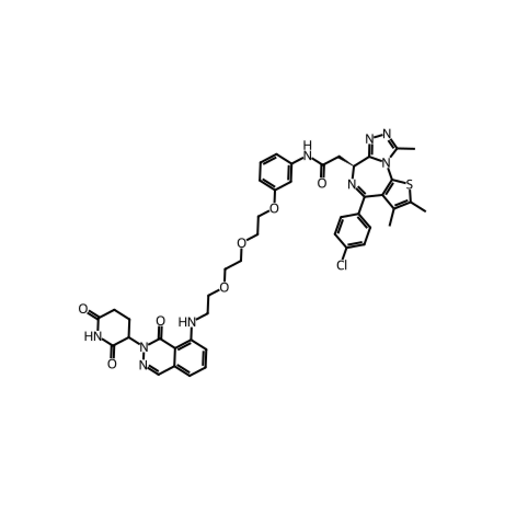 Cc1sc2c(c1C)C(c1ccc(Cl)cc1)=N[C@@H](CC(=O)Nc1cccc(OCCOCCOCCNc3cccc4cnn(C5CCC(=O)NC5=O)c(=O)c34)c1)c1nnc(C)n1-2